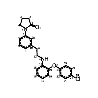 O=C1CCCN1c1cccc(CCNc2ccccc2Oc2ccc(Cl)cc2)c1